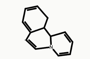 [C]1=CN2C=CC=CC2C2CC=CC=C12